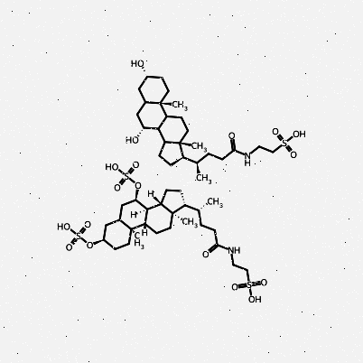 C[C@H](CCC(=O)NCCS(=O)(=O)O)[C@H]1CCC2C3C(CC[C@@]21C)[C@@]1(C)CC[C@@H](O)CC1C[C@H]3O.C[C@H](CCC(=O)NCCS(=O)(=O)O)[C@H]1CC[C@H]2[C@@H]3[C@H](OS(=O)(=O)O)CC4C[C@H](OS(=O)(=O)O)CC[C@]4(C)[C@H]3CC[C@]12C